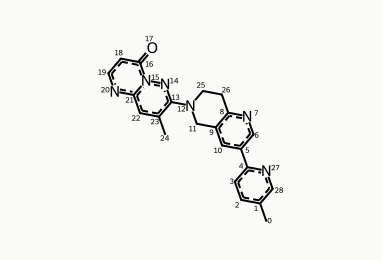 Cc1ccc(-c2cnc3c(c2)CN(c2nn4c(=O)ccnc4cc2C)CC3)nc1